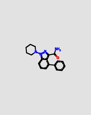 NC(=O)c1nn(N2CCCCC2)c2cccc(-c3ccccc3)c12